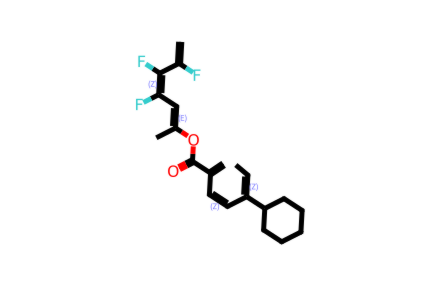 C=C(/C=C\C(=C/C)C1CCCCC1)C(=O)O/C(C)=C/C(F)=C(/F)C(=C)F